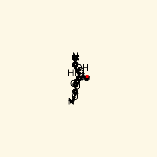 CC[C@@H](c1ccccc1)N1Cc2cc3c(cc2C[C@H]1C(=O)N[C@@H](Cc1ccc(-c2ccnc(C)c2C)cc1)C(=O)O)OC[C@H](c1ccc(OCCN(C)C)cc1)O3